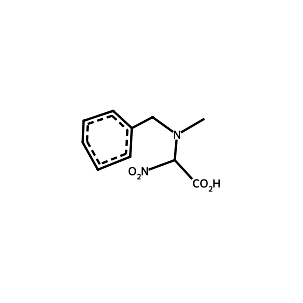 CN(Cc1ccccc1)C(C(=O)O)[N+](=O)[O-]